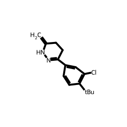 C=C1CCC(c2ccc(C(C)(C)C)c(Cl)c2)=NN1